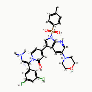 Cc1ccc(S(=O)(=O)n2cc(-c3ccn(/C(=C\N(C)C)c4cc(F)cc(Cl)c4)c(=O)c3)c3cc(N4CCOCC4)cnc32)cc1